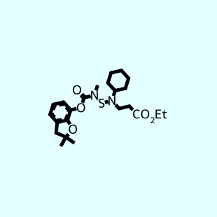 CCOC(=O)CCN(SN(C)C(=O)Oc1cccc2c1OC(C)(C)C2)C1CCCCC1